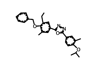 CCc1cc(-c2nnc(-c3ccc(OC(C)C)c(C)c3)o2)cc(C)c1OCc1ccccc1